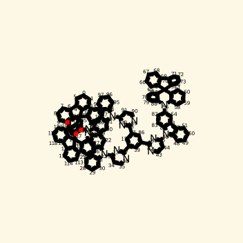 c1ccc2c(c1)-c1ccccc1C21c2ccccc2N(c2ccc3c(c2)c2ccccc2n3-c2ccnc(-c3cc(-c4nccc(-n5c6ccccc6c6cc(N7c8ccccc8C8(c9ccccc9-c9ccccc98)c8ccccc87)ccc65)n4)cc(-c4nccc(-n5c6ccccc6c6cc(N7c8ccccc8C8(c9ccccc9-c9ccccc98)c8ccccc87)ccc65)n4)c3)n2)c2ccccc21